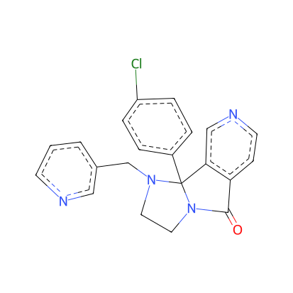 O=C1c2ccncc2C2(c3ccc(Cl)cc3)N(Cc3cccnc3)CCN12